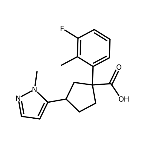 Cc1c(F)cccc1C1(C(=O)O)CCC(c2ccnn2C)C1